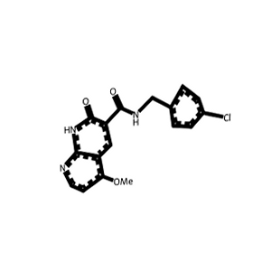 COc1ccnc2[nH]c(=O)c(C(=O)NCc3ccc(Cl)cc3)cc12